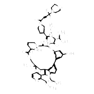 CCn1c(-c2cccnc2[C@H](C)OC)c2c3cc(ccc31)-c1cc(O)cc(c1)C[C@H](NC(=O)[C@H](C(C)C)N(C)C(=O)C1CCN(C(=O)C#CC(F)(F)N3CCOCC3)C1)C(=O)N1CCC[C@H](N1)C(=O)OCC(C)(C)C2